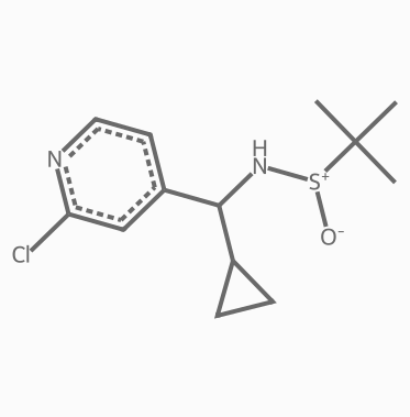 CC(C)(C)[S+]([O-])NC(c1ccnc(Cl)c1)C1CC1